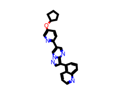 c1cc(-c2cnn3cc(-c4ccc(OC5CCCC5)cn4)cnc23)c2cccnc2c1